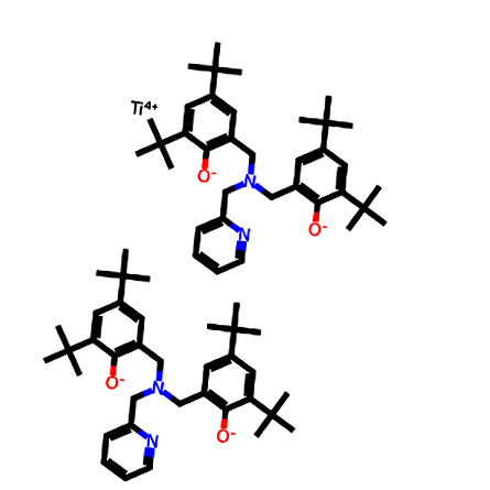 CC(C)(C)c1cc(CN(Cc2ccccn2)Cc2cc(C(C)(C)C)cc(C(C)(C)C)c2[O-])c([O-])c(C(C)(C)C)c1.CC(C)(C)c1cc(CN(Cc2ccccn2)Cc2cc(C(C)(C)C)cc(C(C)(C)C)c2[O-])c([O-])c(C(C)(C)C)c1.[Ti+4]